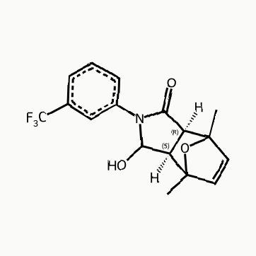 CC12C=CC(C)(O1)[C@H]1C(O)N(c3cccc(C(F)(F)F)c3)C(=O)[C@H]12